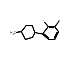 [CH2]C1CCC(c2cccc(F)c2F)CC1